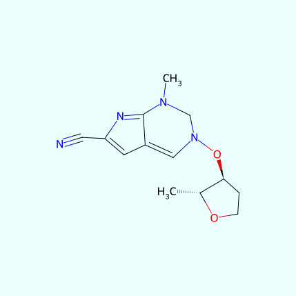 C[C@H]1OCC[C@@H]1ON1C=C2C=C(C#N)N=C2N(C)C1